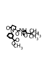 COC(=O)c1cccc(N2C(=O)CC[C@H]2C(=O)Nc2cc(C(C)(C)C)on2)c1